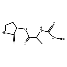 CC(NC(=O)OC(C)(C)C)C(=O)OC1CCNC1=O